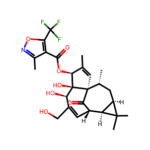 CC1=C[C@]23C(=O)[C@@H](C=C(CO)[C@@H](O)[C@]2(O)[C@H]1OC(=O)c1c(C)noc1C(F)(F)F)[C@H]1[C@@H](C[C@H]3C)C1(C)C